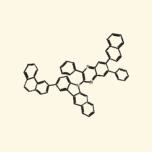 c1ccc(-c2cc3nc(-n4c5ccc(-c6ccc7ccc8ccccc8c7c6)cc5c5cc6ccccc6cc54)c(-c4ccccc4)nc3cc2-c2ccc3ccccc3c2)cc1